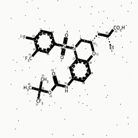 CC[C@H](C[C@H]1CN(S(=O)(=O)c2ccc(F)c(C(F)(F)F)c2)c2cc(NC(=O)OC(C)(C)C(F)(F)F)ccc2O1)C(=O)O